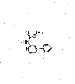 CC(C)(C)OC(=O)Nc1cc(-c2ccccc2)ccn1